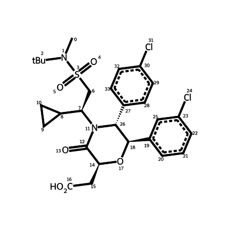 CN(C(C)(C)C)S(=O)(=O)C[C@H](C1CC1)N1C(=O)[C@H](CC(=O)O)O[C@H](c2cccc(Cl)c2)[C@H]1c1ccc(Cl)cc1